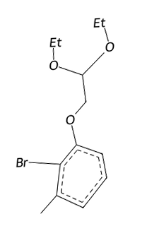 CCOC(COc1cccc(C)c1Br)OCC